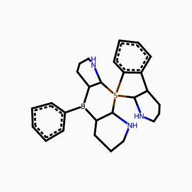 c1ccc(B2C3CCCNC3S3(c4ccccc4C4CCCNC43)C3NCCCC23)cc1